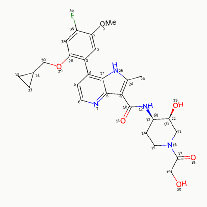 COc1cc(-c2ccnc3c(C(=O)N[C@@H]4CCN(C(=O)CO)C[C@@H]4O)c(C)[nH]c23)c(OCC2CC2)cc1F